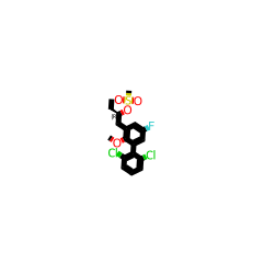 CC[C@H](Cc1cc(F)cc(-c2c(Cl)cccc2Cl)c1OC)OS(C)(=O)=O